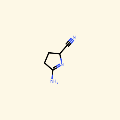 N#CC1CCC(N)=N1